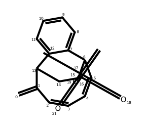 C=C1/C=C\C=C/C2c3ccccc3C1CC21CC(=O)OC1=O